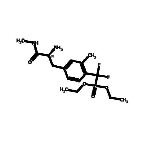 CCOP(=O)(OCC)C(F)(F)c1ccc(C[C@H](N)C(=O)NC)cc1C